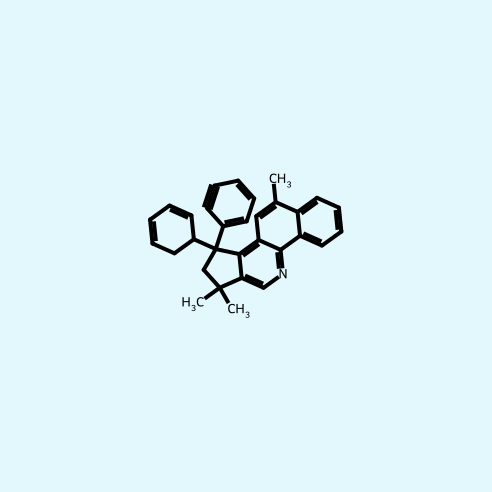 Cc1cc2c3c(cnc2c2ccccc12)C(C)(C)CC3(c1c#cccc1)C1C=CC=CC1